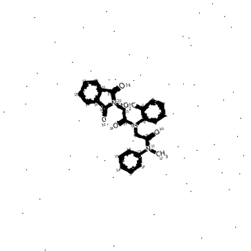 CCOC(=O)c1ccccc1N(CC(=O)N(C)c1ccccc1)C(=O)CN1C(=O)c2ccccc2C1=O